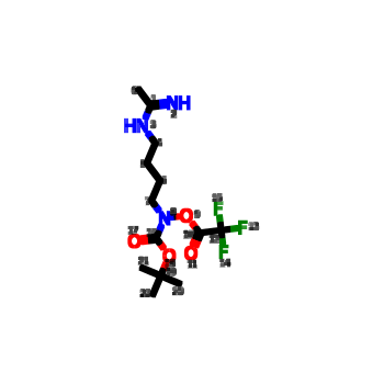 CC(=N)NCCCCN(OC(=O)C(F)(F)F)C(=O)OC(C)(C)C